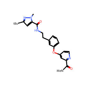 CNC(=O)c1cc(Oc2cccc(CCNC(=O)c3cc(C(C)(C)C)nn3C)c2)ccn1